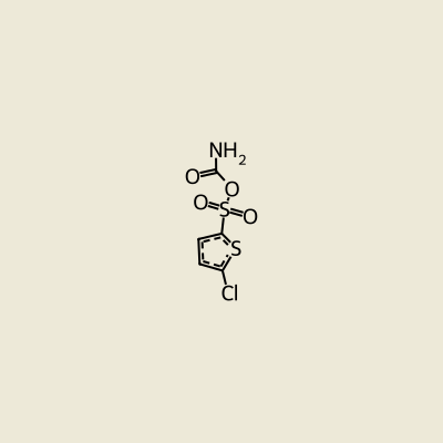 NC(=O)OS(=O)(=O)c1ccc(Cl)s1